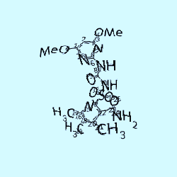 COc1cc(OC)nc(NC(=O)NS(=O)(=O)c2nc(C)c(C)c(C)c2C(N)=O)n1